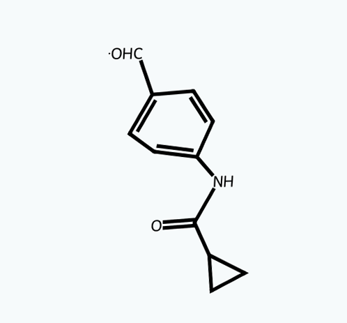 O=[C]c1ccc(NC(=O)C2CC2)cc1